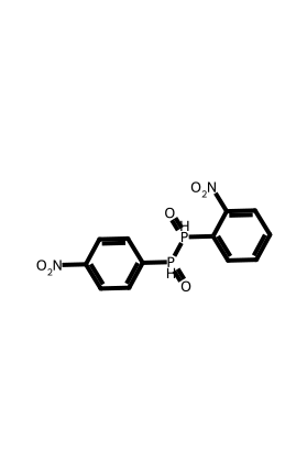 O=[N+]([O-])c1ccc([PH](=O)[PH](=O)c2ccccc2[N+](=O)[O-])cc1